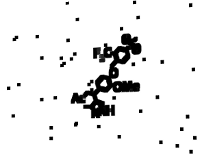 COc1cc(C(CC(C)=O)c2c[nH]nc2C)ccc1OCc1ccc(S(C)(=O)=O)cc1C(F)(F)F